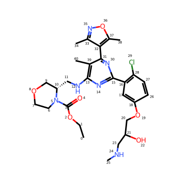 CCOC(=O)N1CCOC[C@@H]1CNc1nc(-c2cc(OCC(O)CNC)ccc2Cl)nc(-c2c(C)noc2C)c1C